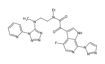 CCN(CCN(C)c1nnnn1-c1ccccn1)C(=O)C(=O)c1c[nH]c2c(-n3ccnn3)ncc(F)c12